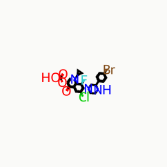 O=C(O)Oc1cn(C2CC2)c2c(F)c(N3CCNC(c4ccc(Br)cc4)C3)c(Cl)cc2c1=O